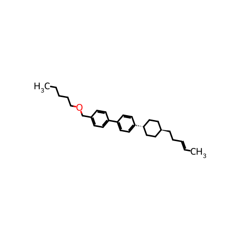 C/C=C/CC[C@H]1CC[C@H](c2ccc(-c3ccc(COCCCCC)cc3)cc2)CC1